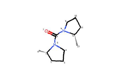 C[C@H]1CCCN1C(=O)N1CCC[C@@H]1C